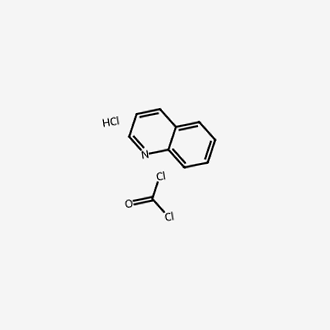 Cl.O=C(Cl)Cl.c1ccc2ncccc2c1